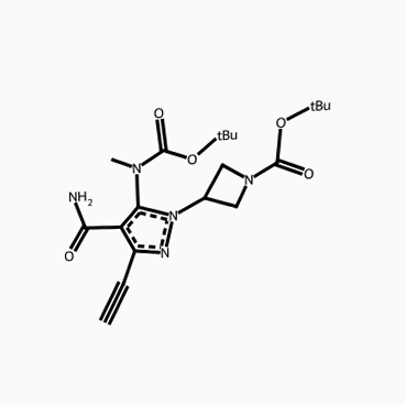 C#Cc1nn(C2CN(C(=O)OC(C)(C)C)C2)c(N(C)C(=O)OC(C)(C)C)c1C(N)=O